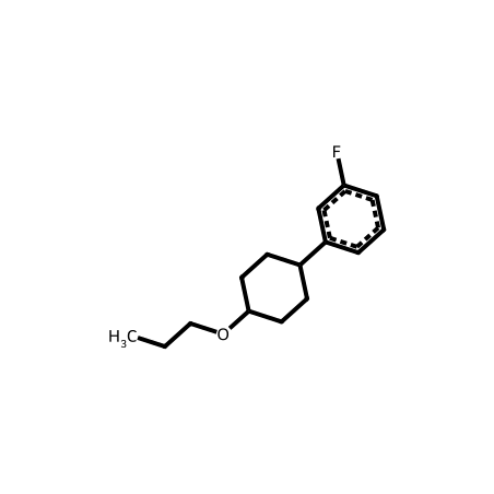 CCCOC1CCC(c2cccc(F)c2)CC1